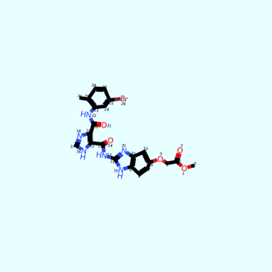 COC(=O)COc1ccc2[nH]c(NC(=O)c3[nH]cnc3C(=O)Nc3cc(Br)ccc3C)nc2c1